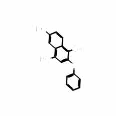 Cc1ccc2c(O)c(Sc3ccccc3)cc(O)c2c1